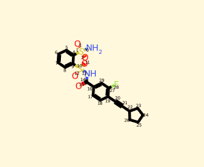 NS(=O)(=O)c1ccccc1S(=O)(=O)NC(=O)c1ccc(C#CC2CCCC2)c(F)c1